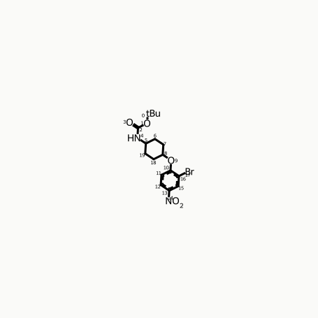 CC(C)(C)OC(=O)NC1CCC(Oc2ccc([N+](=O)[O-])cc2Br)CC1